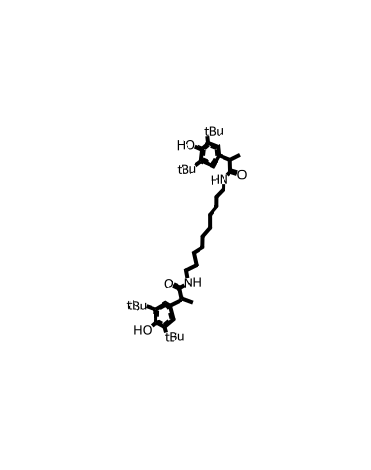 CC(C(=O)NCCCCCCCCCCNC(=O)C(C)c1cc(C(C)(C)C)c(O)c(C(C)(C)C)c1)c1cc(C(C)(C)C)c(O)c(C(C)(C)C)c1